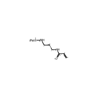 C=CC(=O)NCCCNC(C)CCC